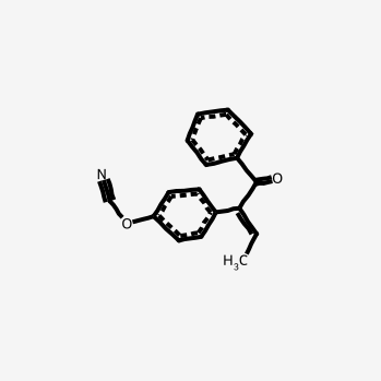 CC=C(C(=O)c1ccccc1)c1ccc(OC#N)cc1